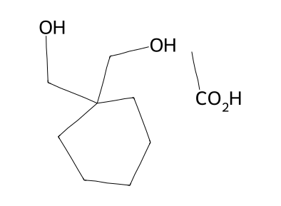 CC(=O)O.OCC1(CO)CCCCC1